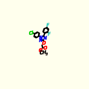 COC(=O)COc1nc(-c2ccc(F)cc2F)n(-c2ccc(Cl)cc2)n1